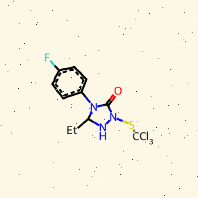 CCC1NN(SC(Cl)(Cl)Cl)C(=O)N1c1ccc(F)cc1